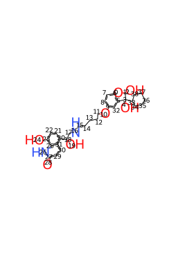 O=C(O)C(O)(c1cccc(OCCCCCNCC(O)c2ccc(O)c3[nH]c(=O)ccc23)c1)C1CCCCC1